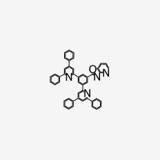 c1ccc(-c2cc(-c3ccccc3)nc(-c3cc(-c4cc(-c5ccccc5)cc(-c5ccccc5)n4)cc(-c4nc5ncccc5o4)c3)c2)cc1